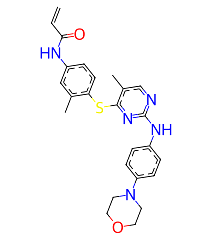 C=CC(=O)Nc1ccc(Sc2nc(Nc3ccc(N4CCOCC4)cc3)ncc2C)c(C)c1